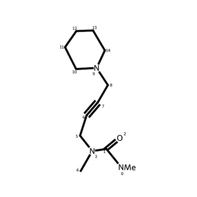 CNC(=O)N(C)CC#CCN1CCCCC1